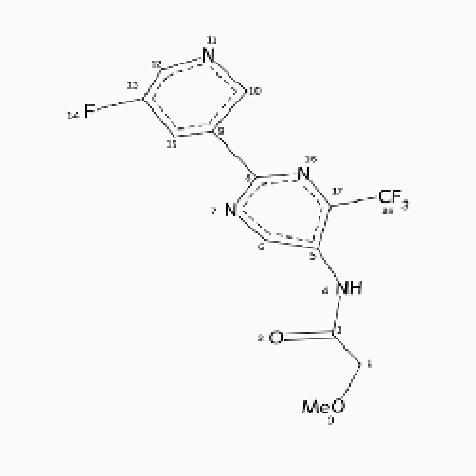 COCC(=O)Nc1cnc(-c2cncc(F)c2)nc1C(F)(F)F